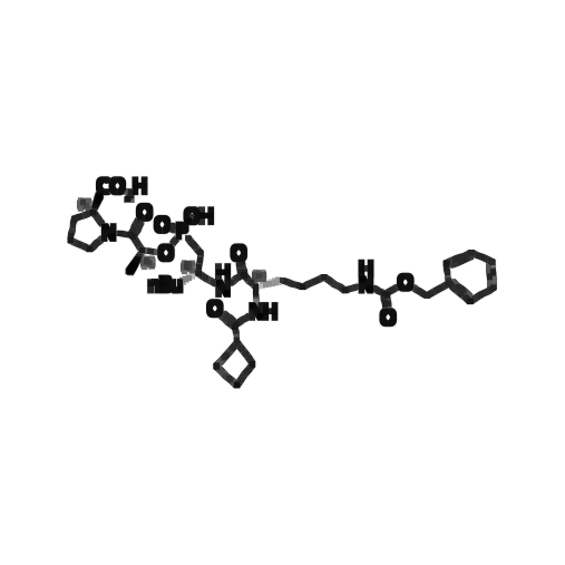 CCCC[C@H](CP(=O)(O)O[C@@H](C)C(=O)N1CCC[C@H]1C(=O)O)NC(=O)[C@H](CCCCNC(=O)OCc1ccccc1)NC(=O)C1CCC1